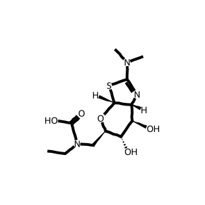 CCN(C[C@H]1O[C@@H]2SC(N(C)C)=N[C@@H]2[C@@H](O)[C@@H]1O)C(=O)O